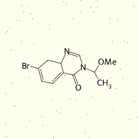 COC(C)N1C=NC2CC(Br)=CC=C2C1=O